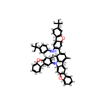 Cc1cc(-c2cc3oc4cc(C(C)(C)C)ccc4c3cc2Nc2ccc(C(C)(C)C)cc2)c2c3c1c1cc4c(cc1n3-c1cc3c(cc1B2)oc1ccccc13)oc1ccccc14